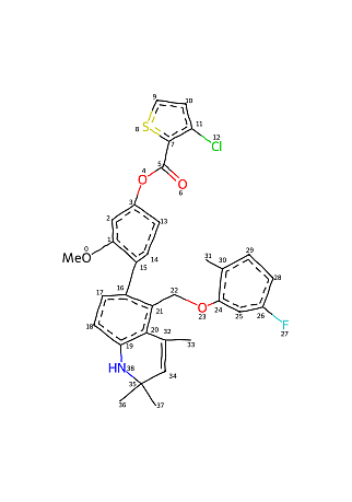 COc1cc(OC(=O)c2sccc2Cl)ccc1-c1ccc2c(c1COc1cc(F)ccc1C)C(C)=CC(C)(C)N2